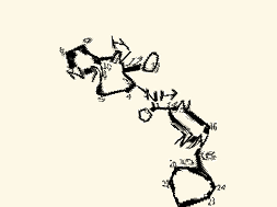 O=C(N[C@H]1CCn2nccc2NC1=O)c1ncn(Cc2ccccc2)n1